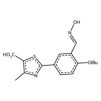 Cc1nc(-c2ccc(OCC(C)C)c(/C=N/O)c2)sc1C(=O)O